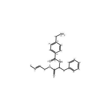 CN=CCOC(=O)C(Cc1ccccc1)NC(=O)c1ccc(CN)cc1